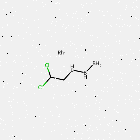 BBBCC(Cl)Cl.[Rh]